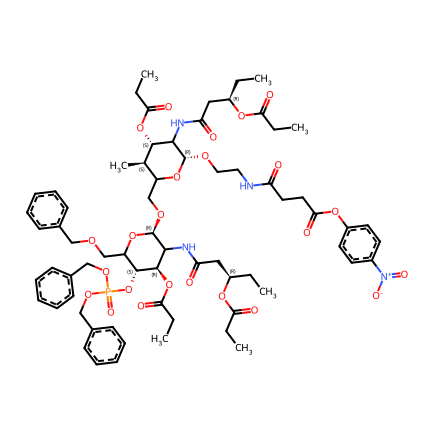 CCC(=O)O[C@H](CC)CC(=O)NC1[C@H](OCCNC(=O)CCC(=O)Oc2ccc([N+](=O)[O-])cc2)OC(CO[C@@H]2OC(COCc3ccccc3)[C@@H](OP(=O)(OCc3ccccc3)OCc3ccccc3)[C@H](OC(=O)CC)C2NC(=O)C[C@@H](CC)OC(=O)CC)[C@@H](C)[C@@H]1OC(=O)CC